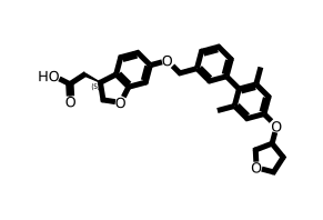 Cc1cc(OC2CCOC2)cc(C)c1-c1cccc(COc2ccc3c(c2)OC[C@H]3CC(=O)O)c1